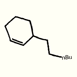 CCCCCCC1C=CCCC1